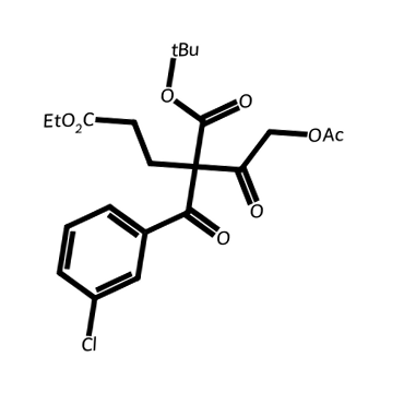 CCOC(=O)CCC(C(=O)COC(C)=O)(C(=O)OC(C)(C)C)C(=O)c1cccc(Cl)c1